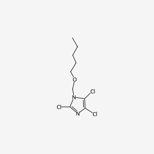 CCCCCOCn1c(Cl)nc(Cl)c1Cl